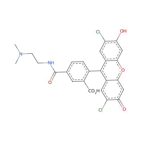 CN(C)CCNC(=O)c1ccc(-c2c3cc(Cl)c(=O)cc-3oc3cc(O)c(Cl)cc23)c(C(=O)O)c1